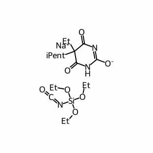 CCCC(C)C1(CC)C(=O)N=C([O-])NC1=O.CCO[Si](N=C=O)(OCC)OCC.[Na+]